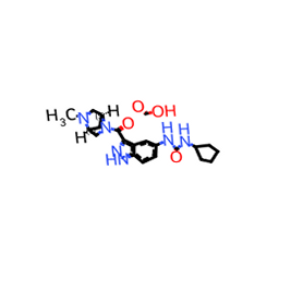 CN1C[C@@H]2C[C@H]1CN2C(=O)c1n[nH]c2ccc(NC(=O)NC3CCCC3)cc12.O=CO